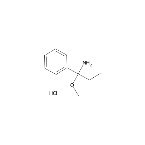 CCC(N)(OC)c1ccccc1.Cl